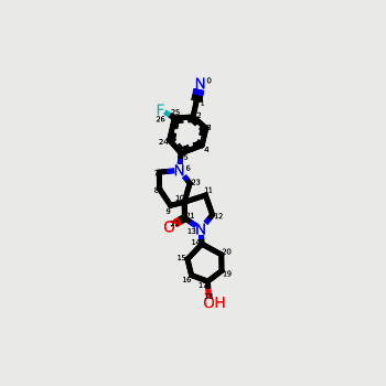 N#Cc1ccc(N2CCCC3(CCN(C4CCC(O)CC4)C3=O)C2)cc1F